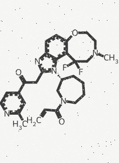 C=CC(=O)N1CCCC[C@@H](n2c(CC(=O)c3ccnc(C)c3)nc3ccc4c(c32)C(F)(F)CN(C)CCO4)C1